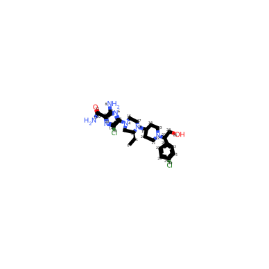 CC[C@H]1CN(c2nc(N)c(C(N)=O)nc2Cl)CCN1C1CCN(C(CO)c2ccc(Cl)cc2)CC1